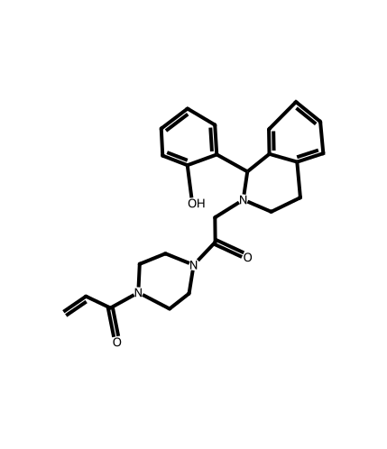 C=CC(=O)N1CCN(C(=O)CN2CCc3ccccc3C2c2ccccc2O)CC1